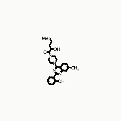 CSCCC(O)C(=O)N1CCN(c2nc(-c3ccccc3O)nc3cc(C)ccc23)CC1